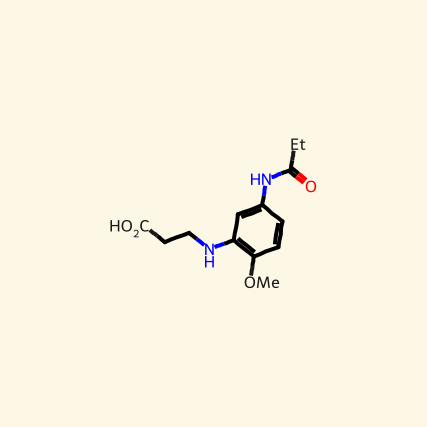 CCC(=O)Nc1ccc(OC)c(NCCC(=O)O)c1